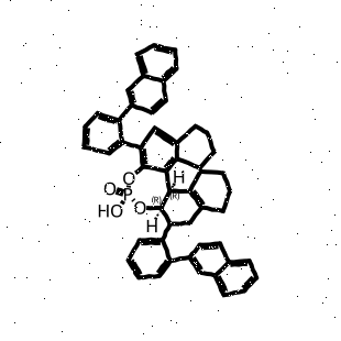 O=P1(O)Oc2c(-c3ccccc3-c3ccc4ccccc4c3)cc3c(c2[C@H]2C4=C(CCCC4)CC(c4ccccc4-c4ccc5ccccc5c4)[C@H]2O1)CCCC3